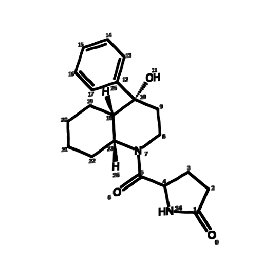 O=C1CCC(C(=O)N2CC[C@](O)(c3ccccc3)[C@H]3CCCC[C@H]32)N1